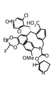 CCOc1cc([C@H](Cc2c(Cl)c[n+]([O-])cc2Cl)c2cc(CN(C(=O)O[C@H]3CN4CCC3CC4)c3ccccc3OC)ccc2C(=O)O)ccc1OC(F)F